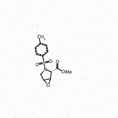 COC(=O)[C@@H]1C2OC2CN1S(=O)(=O)c1ccc(C)cc1